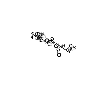 CC(C)(C)OC(=O)N1CC(CCCNc2nc(SNC(=O)c3ccc(-n4ccc(OC(O)(O)C(O)(O)C5C6(CC6)C56CC6)n4)nc3Cl)ccc2OCc2ccccc2)CC1(C)C